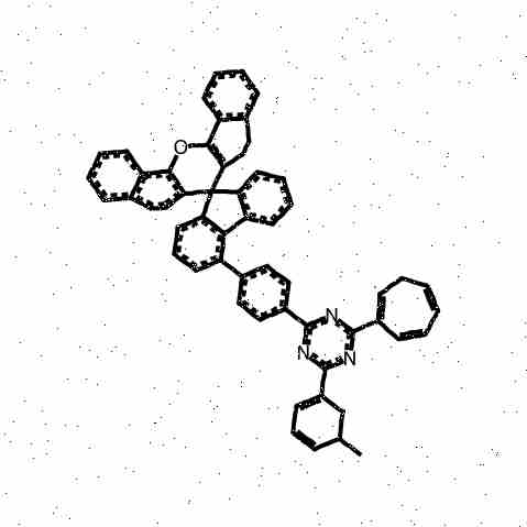 CC1C=CC=C(c2nc(C3=CCC=CC=C3)nc(-c3ccc(-c4cccc5c4-c4ccccc4C54C5=C(Oc6c4ccc4ccccc64)c4ccccc4CC5)cc3)n2)C1